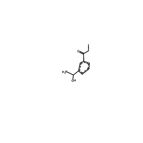 CCC(=O)c1cccc(C(N)O)c1